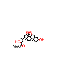 COC(=O)C(O)C[C@@H](C)C1C[C@H](O)[C@H]2C3C(CCC12C)C1(C)CC[C@@H](O)CC1C[C@H]3O